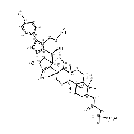 CC(C)C1=C2[C@H]3CC[C@@H]4[C@@]5(C)CC[C@H](OC(=O)CC(C)(C)C(=O)O)C(C)(C)[C@@H]5CC[C@@]4(C)[C@]3(C)CC[C@@]2([C@H](O)c2nnc(-c3ncc(C#N)cn3)n2CCN)CC1=O